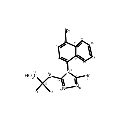 CC(C)c1ccc(-n2c(Br)nnc2SC(C)(C)C(=O)O)c2ccccc12